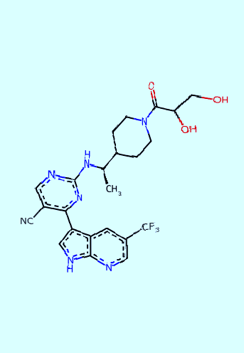 C[C@@H](Nc1ncc(C#N)c(-c2c[nH]c3ncc(C(F)(F)F)cc23)n1)C1CCN(C(=O)C(O)CO)CC1